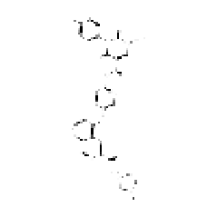 CC(C)n1cc(C(=O)Nc2ccc(Oc3ccnc4cnc(C(=O)N[C@@H]5CCN(C)C5)cc34)cn2)c(=O)n(-c2ccc(F)cc2)c1=O